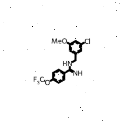 COc1cc(Cl)cc(CNC(=N)c2ccc(OC(F)(F)F)cc2)c1